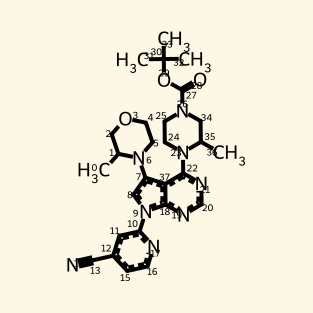 CC1COCCN1c1cn(-c2cc(C#N)ccn2)c2ncnc(N3CCN(C(=O)OC(C)(C)C)CC3C)c12